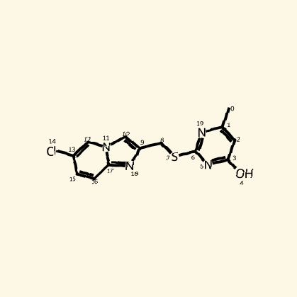 Cc1cc(O)nc(SCc2cn3cc(Cl)ccc3n2)n1